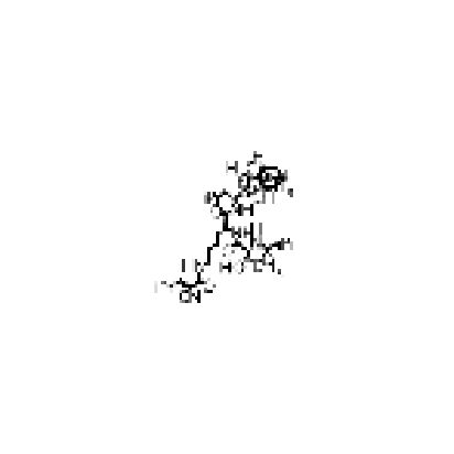 CC(C)C=C(C#N)C(=O)NCCCC[C@H](NC(=O)[C@@H](NC(=O)C(C)C)[C@@H](C)O)C(=O)N[C@@H](CC(C)C)B1O[C@@H]2C[C@@H]3C[C@@H](C3(C)C)[C@]2(C)O1